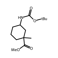 COC(=O)C1(C)CCCC(NC(=O)OC(C)(C)C)C1